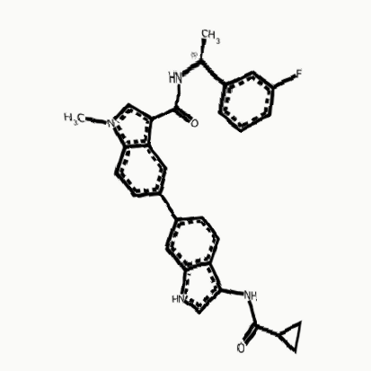 C[C@H](NC(=O)c1cn(C)c2ccc(-c3ccc4c(NC(=O)C5CC5)c[nH]c4c3)cc12)c1cccc(F)c1